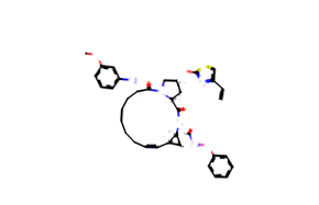 C=Cc1csc(O[C@@H]2C[C@H]3C(=O)N[C@]4(C(=O)NOc5ccccc5)C[C@H]4/C=C\CCCCC[C@H](Nc4cccc(OC)c4)C(=O)N3C2)n1